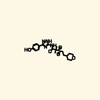 CC(C)(C(=O)Nc1nc(-c2ccc(O)cc2)n[nH]1)S(=O)(=O)CCC1CCOCC1